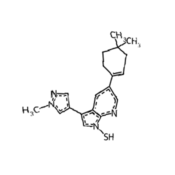 Cn1cc(-c2cn(S)c3ncc(C4=CCC(C)(C)CC4)cc23)cn1